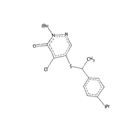 CC(C)c1ccc(C(C)Sc2cnn(C(C)(C)C)c(=O)c2Cl)cc1